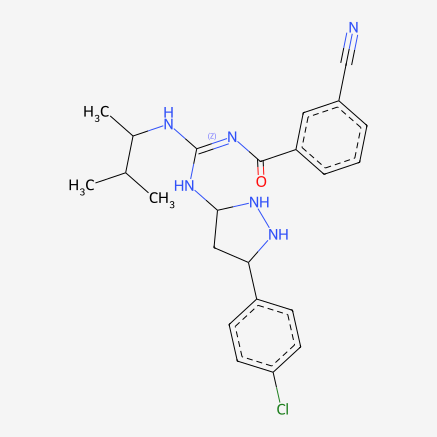 CC(C)C(C)N/C(=N/C(=O)c1cccc(C#N)c1)NC1CC(c2ccc(Cl)cc2)NN1